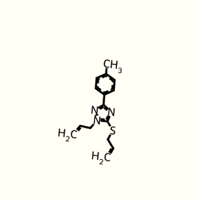 C=CCSc1nc(-c2ccc(C)cc2)nn1CC=C